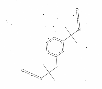 CC(C)(Cc1cccc(C(C)(C)N=C=O)c1)N=C=O